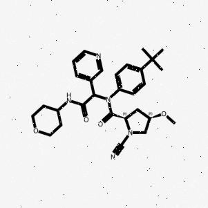 CO[C@@H]1C[C@H](C(=O)N(c2ccc(C(C)(C)C)cc2)C(C(=O)NC2CCOCC2)c2cccnc2)N(C#N)C1